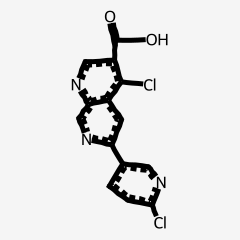 O=C(O)c1cnc2cnc(-c3ccc(Cl)nc3)cc2c1Cl